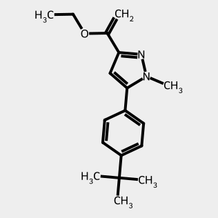 C=C(OCC)c1cc(-c2ccc(C(C)(C)C)cc2)n(C)n1